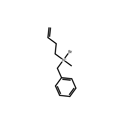 C=CCC[N+](C)(Br)Cc1ccccc1